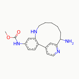 COC(=O)Nc1ccc2c(c1)NCCCCCC(N)c1cc-2ccn1